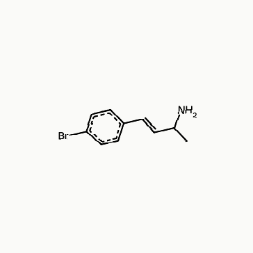 CC(N)/C=C/c1ccc(Br)cc1